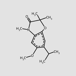 COc1cc2c(cc1C(C)C)OC(C)(C)C(=O)N2C